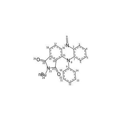 C=Nc1ccccc1N(c1ccccc1)c1cccc2c1C(=O)N(CCCC)C2=O